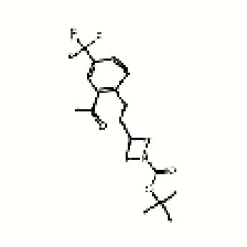 CC(=O)c1cc(C(F)(F)F)ccc1CCC1CN(C(=O)OC(C)(C)C)C1